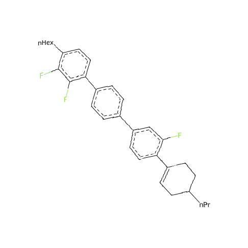 CCCCCCc1ccc(-c2ccc(-c3ccc(C4=CCC(CCC)CC4)c(F)c3)cc2)c(F)c1F